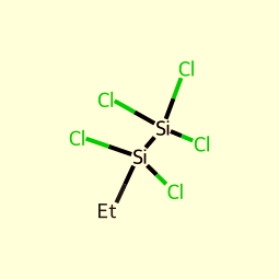 CC[Si](Cl)(Cl)[Si](Cl)(Cl)Cl